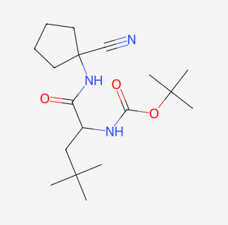 CC(C)(C)CC(NC(=O)OC(C)(C)C)C(=O)NC1(C#N)CCCC1